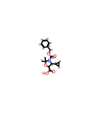 CC1(C)OC(C(=O)O)C(C2CC2)N1C(=O)OCc1ccccc1